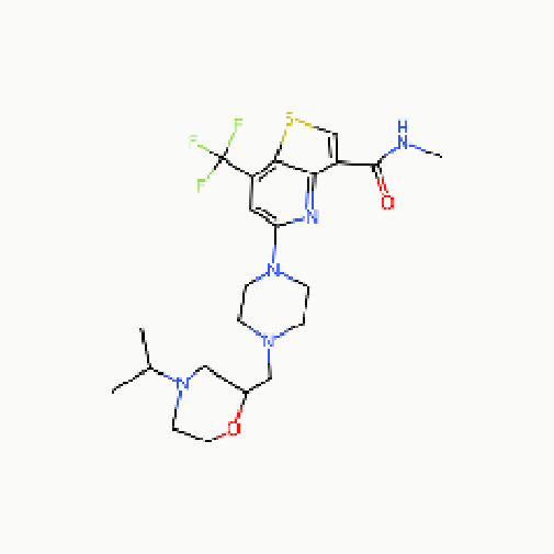 CNC(=O)c1csc2c(C(F)(F)F)cc(N3CCN(CC4CN(C(C)C)CCO4)CC3)nc12